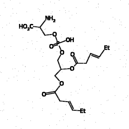 CCC=CCC(=O)OCC(COP(=O)(O)OCC(N)C(=O)O)OC(=O)CC=CCC